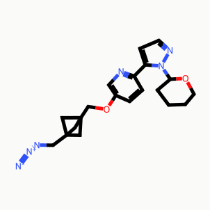 [N-]=[N+]=NCC12CC(COc3ccc(-c4ccnn4C4CCCCO4)nc3)(C1)C2